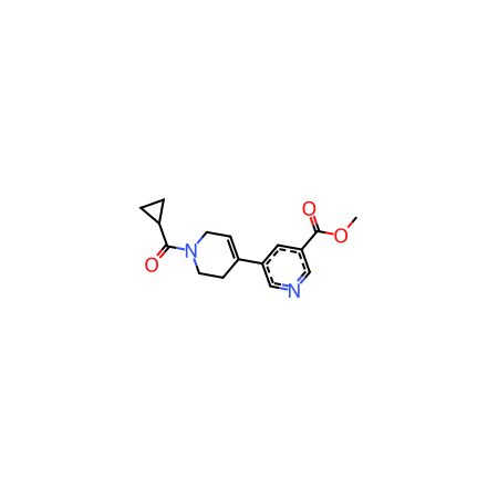 COC(=O)c1cncc(C2=CCN(C(=O)C3CC3)CC2)c1